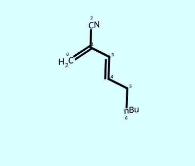 C=C(C#N)C=CCCCCC